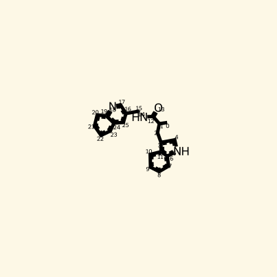 CC(Cc1c[nH]c2ccccc12)C(=O)NCc1cnc2ccccc2c1